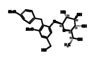 COc1ccc(Cc2c(OC)cc(CO)cc2O[C@@H]2O[C@H]([C@@H](C)O)[C@@H](O)[C@H](O)[C@H]2O)cc1